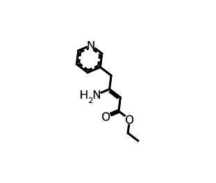 CCOC(=O)C=C(N)Cc1cccnc1